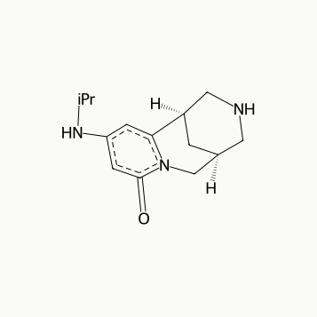 CC(C)Nc1cc2n(c(=O)c1)C[C@@H]1CNC[C@H]2C1